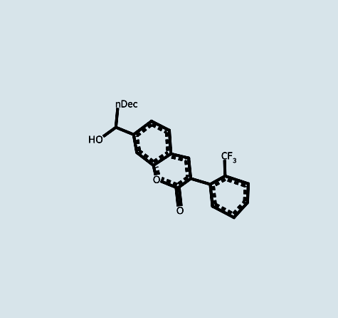 CCCCCCCCCCC(O)c1ccc2cc(-c3ccccc3C(F)(F)F)c(=O)oc2c1